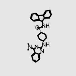 CN(C)c1nc(N[C@H]2CC[C@@H](C(=O)NC3c4ccccc4-c4ccccc43)CC2)nc2ccccc12